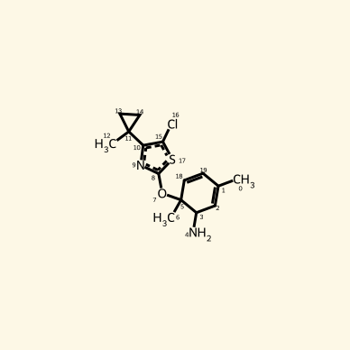 CC1=CC(N)C(C)(Oc2nc(C3(C)CC3)c(Cl)s2)C=C1